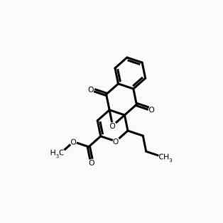 CCCC1OC(C(=O)OC)=CC23OC12C(=O)c1ccccc1C3=O